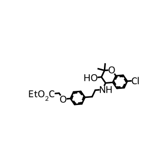 CCOC(=O)COc1ccc(CCNC2c3ccc(Cl)cc3OC(C)(C)C2O)cc1